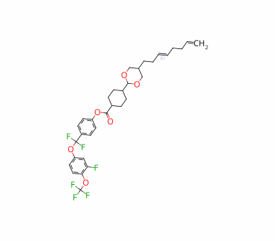 C=CCC/C=C/CCC1COC(C2CCC(C(=O)Oc3ccc(C(F)(F)Oc4ccc(OC(F)(F)F)c(F)c4)cc3)CC2)OC1